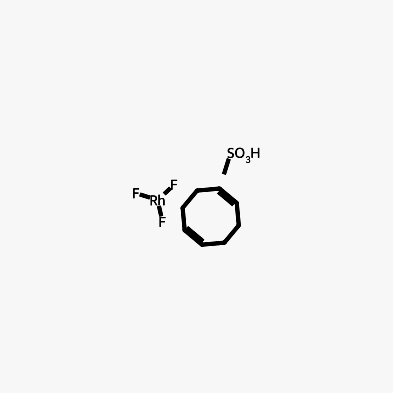 C1=CCCC=CCC1.CS(=O)(=O)O.[F][Rh]([F])[F]